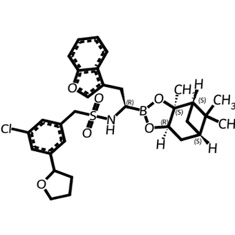 CC1(C)[C@@H]2C[C@H]3OB([C@H](Cc4coc5ccccc45)NS(=O)(=O)Cc4cc(Cl)cc(C5CCCO5)c4)O[C@@]3(C)[C@H]1C2